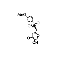 COc1ccc(C(=O)C=Cc2cc(=O)c(O)co2)c(OC)c1